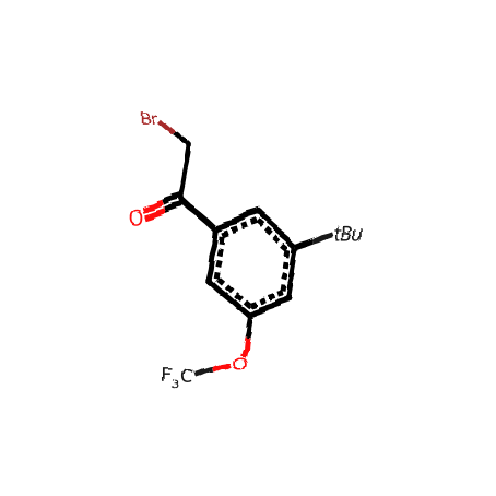 CC(C)(C)c1cc(OC(F)(F)F)cc(C(=O)CBr)c1